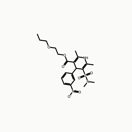 CCCOCCOC(=O)C1=C(C)NC(C)=C(S(=O)(=O)N(C)C)C1c1cccc([N+](=O)[O-])c1